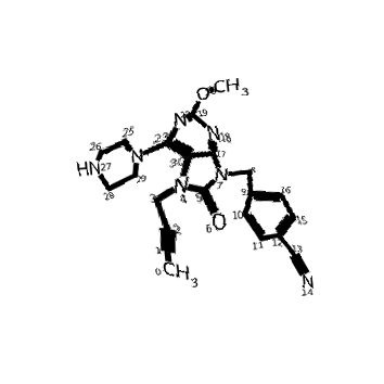 CC#CCn1c(=O)n(Cc2ccc(C#N)cc2)c2nc(OC)nc(N3CCNCC3)c21